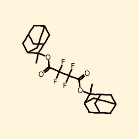 CC1(OC(=O)C(F)(F)C(F)(F)C(=O)OC2(C)C3CC4CC(C3)CC2C4)C2CC3CC(C2)CC1C3